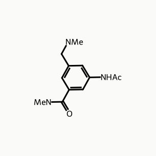 CNCc1cc(NC(C)=O)cc(C(=O)NC)c1